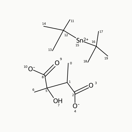 CC(C(=O)[O-])C(C)(O)C(=O)[O-].C[C](C)(C)[Sn+2][C](C)(C)C